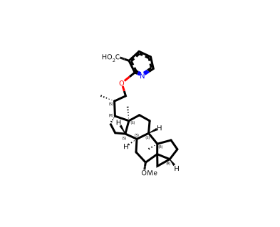 COC1C[C@H]2[C@@H]3CC[C@H]([C@H](C)COc4ncccc4C(=O)O)[C@@]3(C)CC[C@@H]2[C@@]2(C)CC[C@@H]3CC132